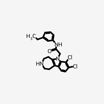 CCc1cccc(NC(=O)Cn2c3c(c4ccc(Cl)c(Cl)c42)CCNCC3)c1